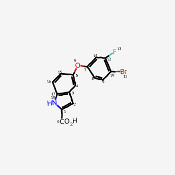 O=C(O)c1cc2cc(Oc3ccc(Br)c(F)c3)ccc2[nH]1